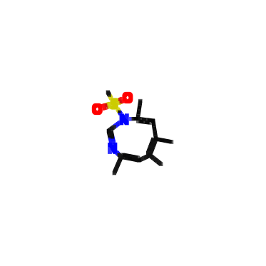 Cc1cc(C)c(C)cc(C)n(S(C)(=O)=O)cn1